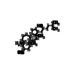 CC(C)CCC(O)CC1CCC2C3CCCC4(N)CC(N=O)CCC4(C)C3CCC12C